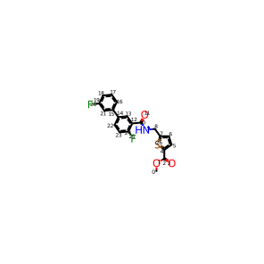 COC(=O)c1ccc(CNC(=O)c2cc(-c3cccc(F)c3)ccc2F)s1